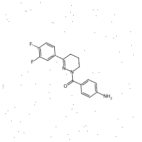 Nc1ccc(C(=O)N2CCCC(c3ccc(F)c(F)c3)=N2)cc1